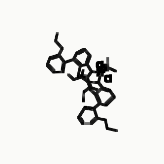 CCCc1ccccc1-c1cccc2c1C=C(C(C)CC)[CH]2[Zr]([Cl])([Cl])([CH]1C(C(C)CC)=Cc2c(-c3ccccc3CCC)cccc21)[SiH](C)C